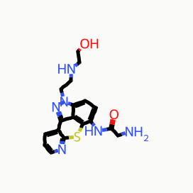 NCC(=O)Nc1ccc2c3c(nn2CCNCCO)-c2cccnc2Sc13